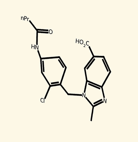 CCCC(=O)Nc1ccc(Cn2c(C)nc3ccc(C(=O)O)cc32)c(Cl)c1